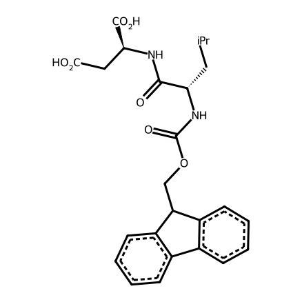 CC(C)C[C@H](NC(=O)OCC1c2ccccc2-c2ccccc21)C(=O)N[C@@H](CC(=O)O)C(=O)O